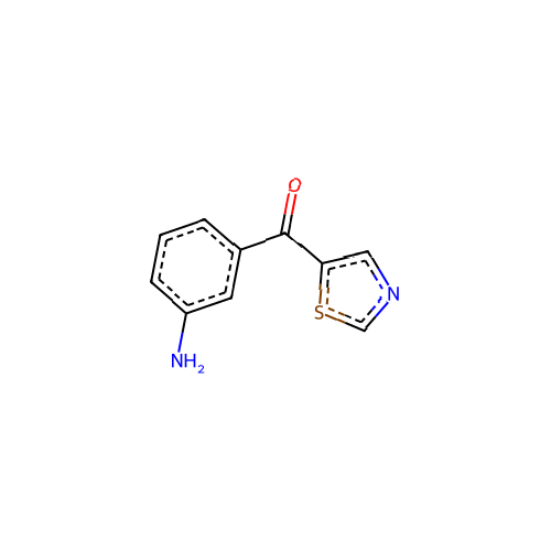 Nc1cccc(C(=O)c2cncs2)c1